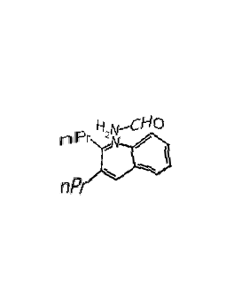 CCCc1cc2ccccc2nc1CCC.NC=O